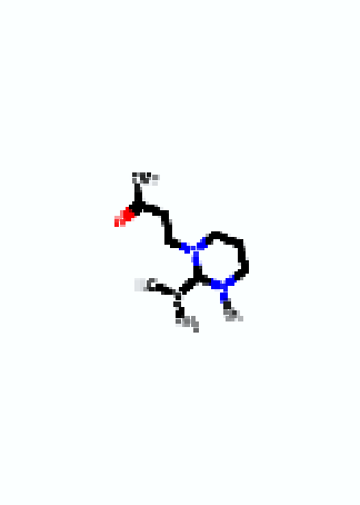 COC(=O)CCN1CCCN(C(C)(C)C)C1[SiH](C)C